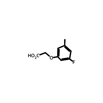 Cc1cc(F)cc(OCC(=O)O)c1